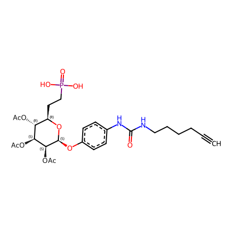 C#CCCCCNC(=O)Nc1ccc(O[C@@H]2O[C@H](CCP(=O)(O)O)[C@@H](OC(C)=O)[C@H](OC(C)=O)[C@@H]2OC(C)=O)cc1